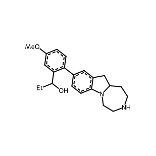 CCC(O)c1cc(OC)ccc1-c1ccc2c(c1)CC1CCNCCN21